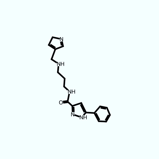 O=C(NCCCNCC1=CCN=C1)c1cc(-c2ccccc2)[nH]n1